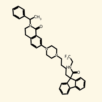 CC(c1ccccc1)N1CCc2ccc(N3CCN(CCCCC4(C(=O)NCC(F)(F)F)c5ccccc5-c5ccccc54)CC3)cc2C1=O